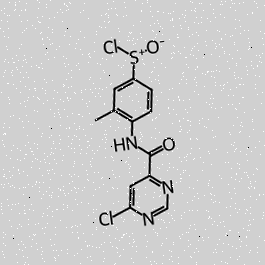 Cc1cc([S+]([O-])Cl)ccc1NC(=O)c1cc(Cl)ncn1